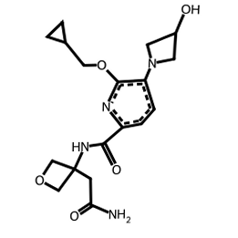 NC(=O)CC1(NC(=O)c2ccc(N3CC(O)C3)c(OCC3CC3)n2)COC1